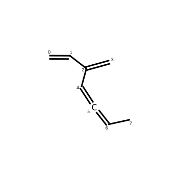 C=CC(=C)C=C=CC